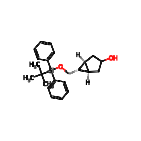 CC(C)(C)[Si](OC[C@@H]1[C@H]2CC(O)C[C@@H]12)(c1ccccc1)c1ccccc1